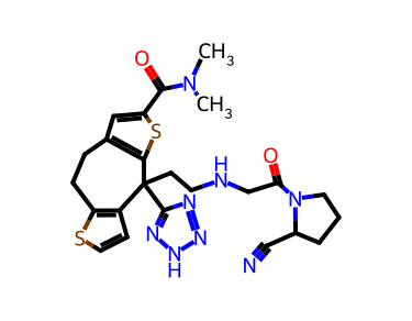 CN(C)C(=O)c1cc2c(s1)C(CCNCC(=O)N1CCCC1C#N)(c1nn[nH]n1)c1ccsc1CC2